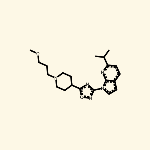 COCCCN1CCC(c2nc(-n3ccc4ccc(C(C)C)nc43)no2)CC1